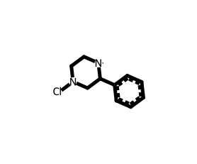 ClN1CC[N]C(c2ccccc2)C1